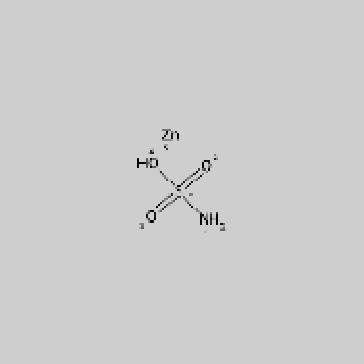 NS(=O)(=O)O.[Zn]